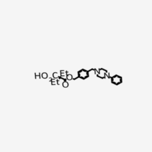 CCC(CC)(C(=O)O)C(=O)OCc1ccc(CN2CCN(c3ccccc3)CC2)cc1